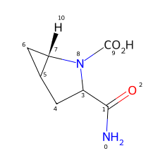 NC(=O)C1CC2C[C@@H]2N1C(=O)O